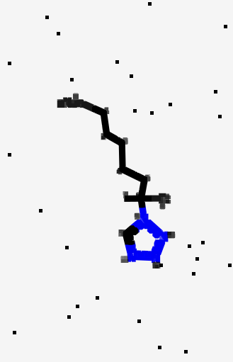 CCCCCCCCCCCCCCC(C)(CC)n1cnnn1